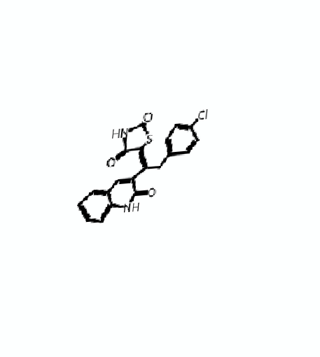 O=C1NC(=O)C(=C(Cc2ccc(Cl)cc2)c2cc3ccccc3[nH]c2=O)S1